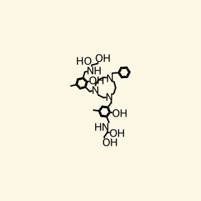 Cc1cc(CNC(O)CO)c(O)c(CN2CCCN(Cc3ccccc3)CCCN(Cc3cc(C)cc(CNC(O)CO)c3O)CC2)c1